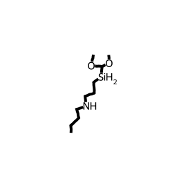 CCCCNCCC[SiH2]C(OC)OC